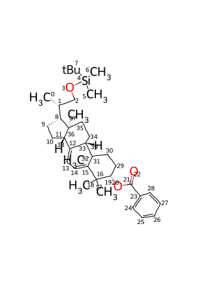 C[C@H](CO[Si](C)(C)C(C)(C)C)[C@H]1CC[C@H]2C3=CC=C4C(C)(C)[C@@H](OC(=O)c5ccccc5)CC[C@]4(C)[C@H]3CC[C@]12C